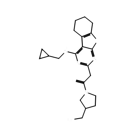 O=C(Cc1nc(NCC2CC2)c2c3c(sc2n1)CCCC3)N1CCC(CO)C1